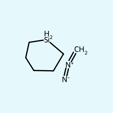 C1CC[SiH2]CC1.C=[N+]=[N-]